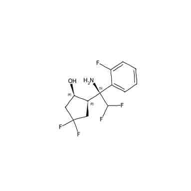 N[C@@](c1ccccc1F)(C(F)F)[C@H]1CC(F)(F)C[C@H]1O